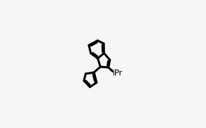 CC(C)C1=Cc2ccccc2C1C1=CC=CC1